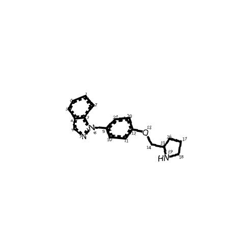 c1ccc2c(c1)cnn2-c1ccc(OCC2CCCN2)cc1